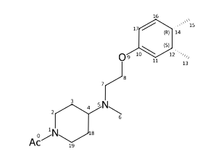 CC(=O)N1CCC(N(C)CCOC2=C[C@@H](C)[C@@H](C)C=C2)CC1